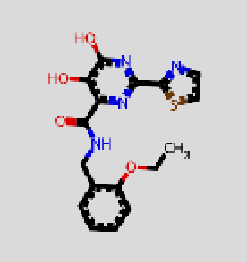 CCOc1ccccc1CNC(=O)c1nc(-c2nccs2)nc(O)c1O